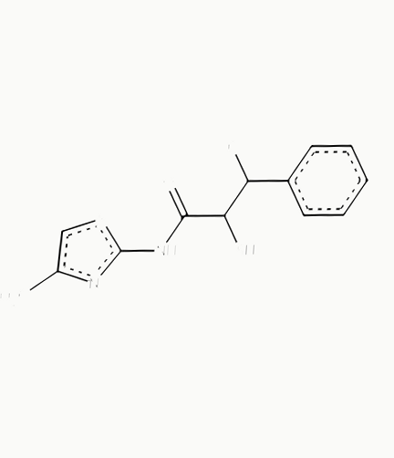 CC(c1ccccc1)C(S)C(=O)Nc1nc(C(=O)O)cs1